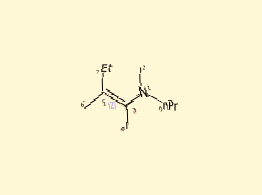 CCCN(C)/C(C)=C(/C)CC